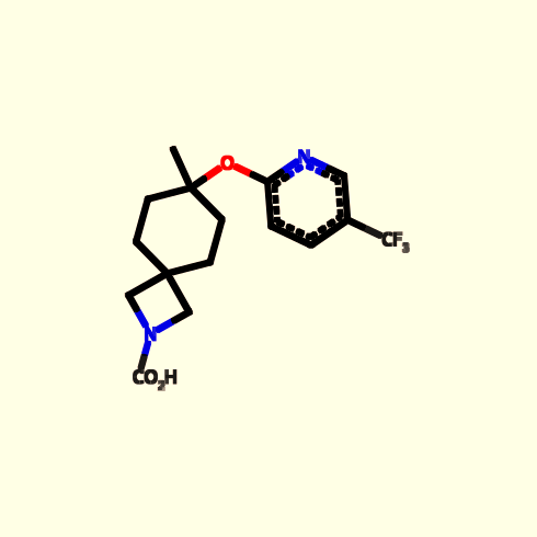 CC1(Oc2ccc(C(F)(F)F)cn2)CCC2(CC1)CN(C(=O)O)C2